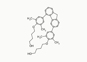 Cc1cc(-c2ccc3c(c2)-c2c(cccc2-c2cc(C)c(OCCCCO)c(C)c2)C3)cc(C)c1OCCCCO